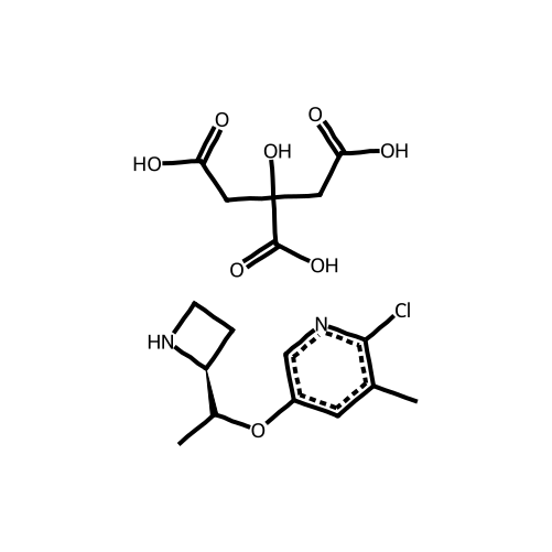 Cc1cc(OC(C)[C@@H]2CCN2)cnc1Cl.O=C(O)CC(O)(CC(=O)O)C(=O)O